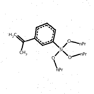 C=C(C)c1cccc([Si](OCCC)(OCCC)OCCC)c1